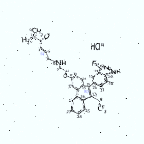 CN(C)C(=O)/C=C/CNCCOc1ccc(/C(=C(/CC(F)(F)F)c2ccccc2)c2ccc3[nH]nc(F)c3c2)cc1.Cl